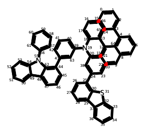 c1ccc(-c2cccc3cccc(-c4ccccc4N(c4cccc(-c5cccc6c5sc5ccccc56)c4)c4cccc(-c5cccc6c7ccccc7n(-c7ccccc7)c56)c4)c23)cc1